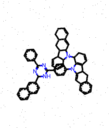 C1=CC2C3CC4CCC=CC4=CC3N(C3CC=CC4=C3N(c3ccc(C5=NC(c6ccccc6)=NC(c6ccc7ccccc7c6)N5)cc3)C3=Cc5ccccc5CC34)C2C=C1